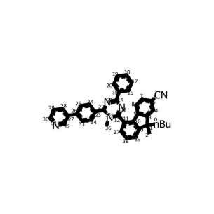 CCCCC1(C)c2cc(C#N)ccc2-c2c(C3=NC(c4ccccc4)=NC(c4ccc(-c5cccnc5)cc4)N3C)cccc21